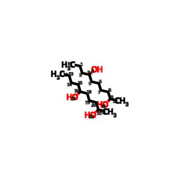 CCCC(O)CCCCC(C)O.CCCCC(O)CCCC(C)O